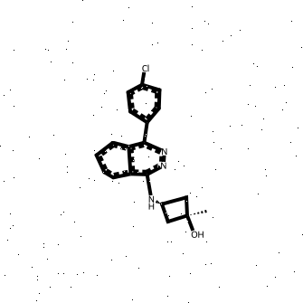 C[C@]1(O)C[C@H](Nc2nnc(-c3ccc(Cl)cc3)c3ccccc23)C1